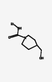 CCNC(=O)N1CCC(CO)CC1